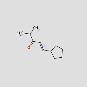 CC(C)C(=O)/C=C/C1CCCC1